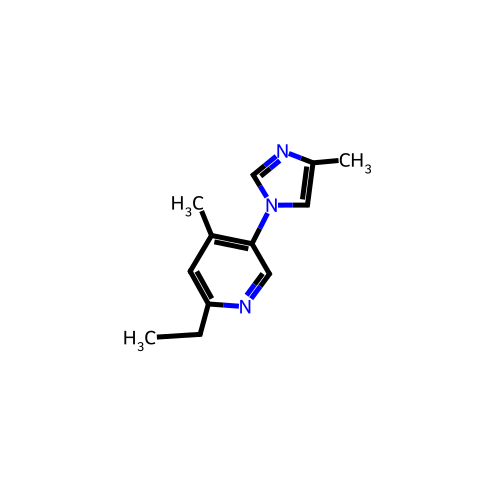 CCc1cc(C)c(-n2cnc(C)c2)cn1